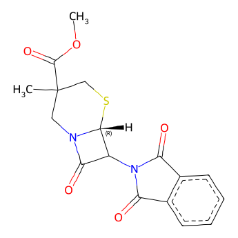 COC(=O)C1(C)CS[C@@H]2C(N3C(=O)c4ccccc4C3=O)C(=O)N2C1